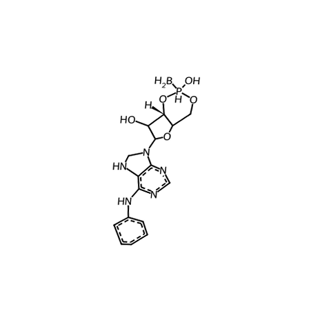 B[PH]1(O)OCC2OC(N3CNc4c(Nc5ccccc5)ncnc43)C(O)[C@@H]2O1